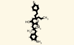 CCCC1(CCc2ccc(F)cc2)CC(O)=C(CC(C)(C)Cc2cccc(N)c2)C(=O)O1